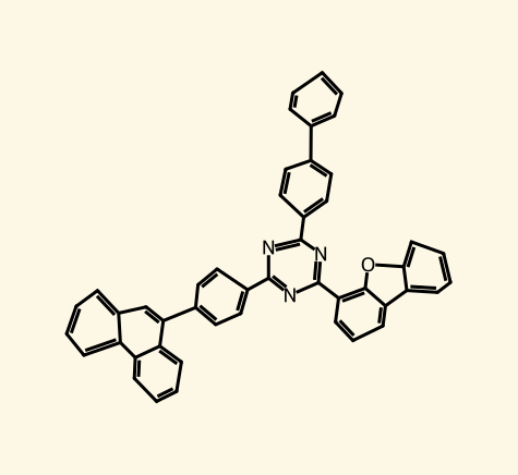 c1ccc(-c2ccc(-c3nc(-c4ccc(-c5cc6ccccc6c6ccccc56)cc4)nc(-c4cccc5c4oc4ccccc45)n3)cc2)cc1